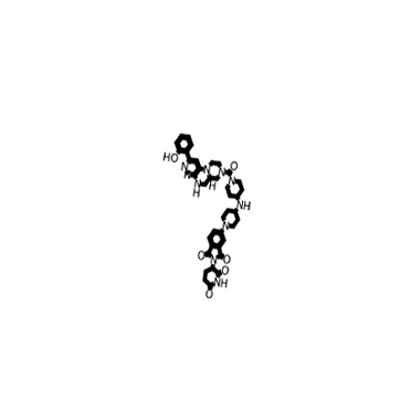 O=C1CCC(N2C(=O)c3ccc(N4CCC(NC5CCN(C(=O)N6CCN7c8cc(-c9ccccc9O)nnc8NC[C@H]7C6)CC5)CC4)cc3C2=O)C(=O)N1